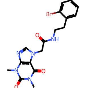 Cn1c(=O)c2c(ncn2CC(=O)NCCc2ccccc2Br)n(C)c1=O